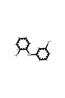 Fc1cccc(Oc2c[c]ccc2F)c1